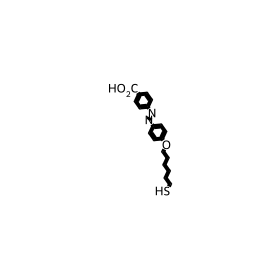 O=C(O)c1ccc(N=Nc2ccc(OCCCCCCS)cc2)cc1